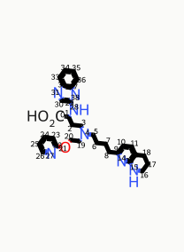 O=C(O)C(CCN(CCCCc1ccc2c(n1)NCCC2)CCOc1ccccn1)Nc1cnc2ccccc2n1